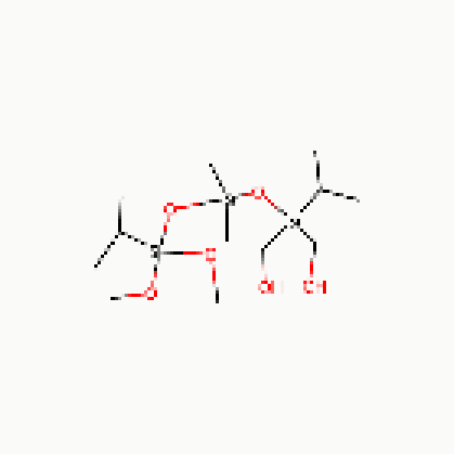 CO[Si](OC)(O[Si](C)(C)O[Si](CO)(CO)C(C)C)C(C)C